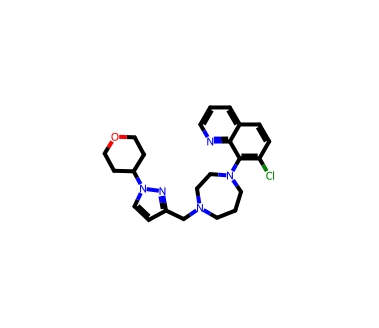 Clc1ccc2cccnc2c1N1CCCN(Cc2ccn(C3CCOCC3)n2)CC1